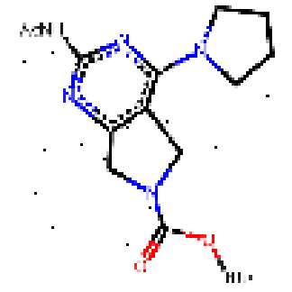 CC(=O)Nc1nc2c(c(N3CCCC3)n1)CN(C(=O)OC(C)(C)C)C2